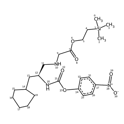 C[Si](C)(C)CCOC(=O)CNC[C@H](CC1CCCCC1)NC(=O)Oc1ccc([N+](=O)[O-])cc1